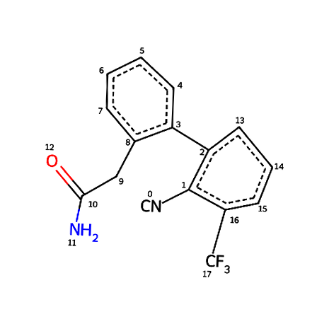 [C-]#[N+]c1c(-c2ccccc2CC(N)=O)cccc1C(F)(F)F